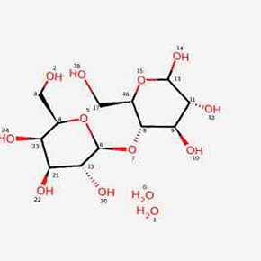 O.O.OC[C@H]1O[C@@H](O[C@H]2[C@H](O)[C@@H](O)C(O)O[C@@H]2CO)[C@H](O)[C@@H](O)[C@H]1O